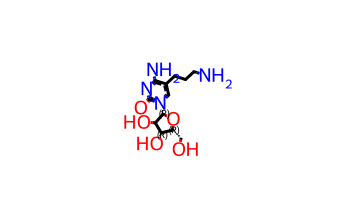 NCCCc1cn([C@@H]2O[C@H](CO)[C@H](O)C2O)c(=O)nc1N